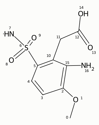 COc1ccc(S([NH])(=O)=O)c(CC(=O)O)c1N